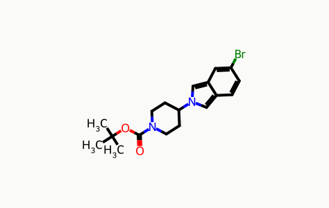 CC(C)(C)OC(=O)N1CCC(n2cc3ccc(Br)cc3c2)CC1